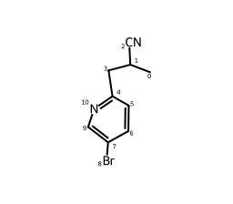 CC(C#N)Cc1ccc(Br)cn1